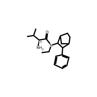 CCN(C(=O)[C@@H](N)C(C)C)C1C2CCC(C2)C1c1ccccc1